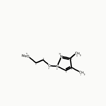 COCCOn1cc(C)c(C)n1